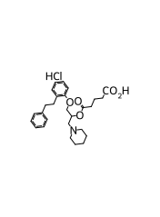 Cl.O=C(O)CCCC(=O)OC(COc1ccccc1CCc1ccccc1)CN1CCCCC1